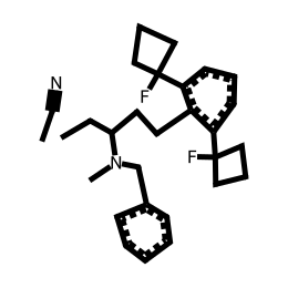 CC#N.CCC(CCc1c(C2(F)CCC2)cccc1C1(F)CCC1)N(C)Cc1ccccc1